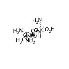 C[C@H](N)C(=O)N[C@@H](CCCCN)C(=O)N1CCC[C@H]1C(=O)N[C@@H](CCCCN)C(=O)O